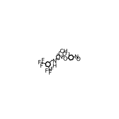 CC[C@@H]1C[C@H](NCc2cc(C(F)(F)F)cc(C(F)(F)F)c2)CN1C(=O)Oc1ccc(N=O)cc1